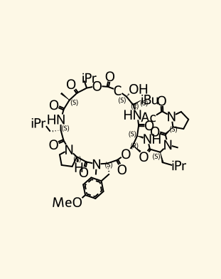 CC[C@H](C)[C@H]1NC(=O)[C@@H](NC(=O)[C@H](CC(C)C)N(C)C(=O)[C@@H]2CCCN2C(=O)C(C)=O)[C@@H](C)OC(=O)[C@H](Cc2ccc(OC)cc2)N(C)C(=O)[C@@H]2CCCN2C(=O)[C@H](CC(C)C)NC(=O)[C@@H](C)C(=O)C(C(C)C)OC(=O)C[C@@H]1O